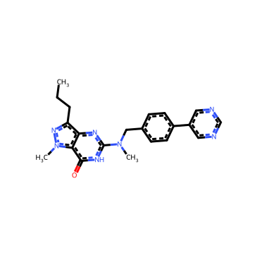 CCCc1nn(C)c2c(=O)[nH]c(N(C)Cc3ccc(-c4cncnc4)cc3)nc12